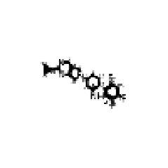 N[C@H]1C[C@@H](N2Cc3cnc(C4CC4)nc3C2)CC[C@@H]1c1cc(F)c(F)cc1F